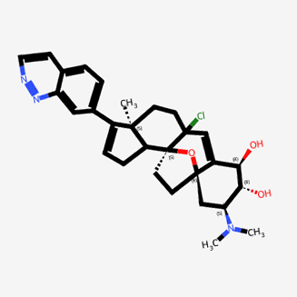 CN(C)[C@H]1C[C@@]23CC[C@]4(O2)C2CC=C(c5ccc6ccnnc6c5)[C@@]2(C)CCC4(Cl)C=C3[C@@H](O)[C@@H]1O